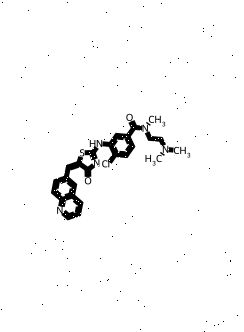 CN(C)CCN(C)C(=O)c1ccc(Cl)c(NC2=NC(=O)C(=Cc3ccc4ncccc4c3)S2)c1